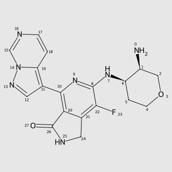 N[C@H]1COCC[C@H]1Nc1nc(-c2cnn3cnccc23)c2c(c1F)CNC2=O